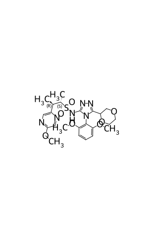 COc1cnc([C@@H](C)[C@H](C)S(=O)(=O)Nc2nnc(C3COCCO3)n2-c2c(OC)cccc2OC)cn1